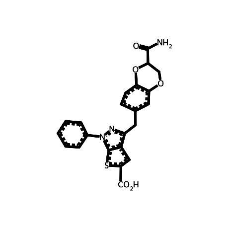 NC(=O)C1COc2cc(Cc3nn(-c4ccccc4)c4sc(C(=O)O)cc34)ccc2O1